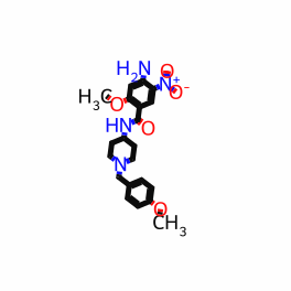 COc1ccc(CN2CCC(NC(=O)c3cc([N+](=O)[O-])c(N)cc3OC)CC2)cc1